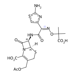 CC(=O)OCC1=C(C(=O)O)N2C(=O)[C@@H](NC(=O)/C(=N\OC(C)(C)C(=O)O)c3csc(N)n3)[C@H]2SC1